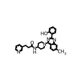 Cc1ccc2c(N3CCC(NC(=O)CCc4cccnc4)CC3)nc(-c3ccccc3O)nc2c1